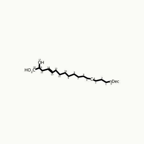 CCCCCCCCCCCCCCCCCCCCCC/C=C/CC(O)C(=O)O